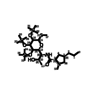 CCC[C@@H]1C[C@@H](C(=O)N[C@H]([C@@H](C)O)[C@H]2OC(SC)C(O[Si](C)(C)C)C(O[Si](C)(C)C)C2O[Si](C)(C)C)N(C)C1